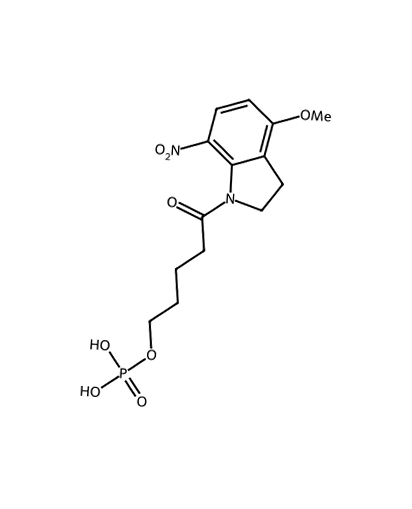 COc1ccc([N+](=O)[O-])c2c1CCN2C(=O)CCCCOP(=O)(O)O